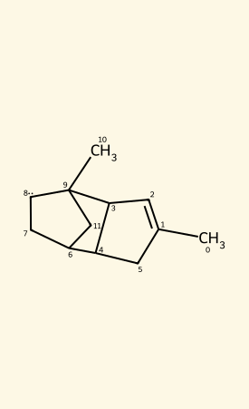 CC1=CC2C(C1)C1C[C]C2(C)C1